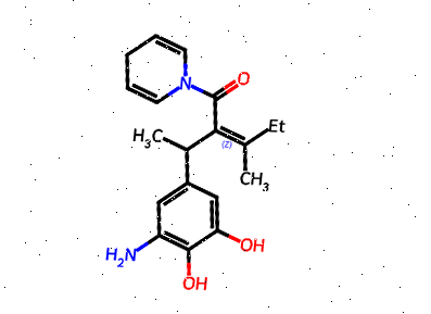 CC/C(C)=C(\C(=O)N1C=CCC=C1)C(C)c1cc(N)c(O)c(O)c1